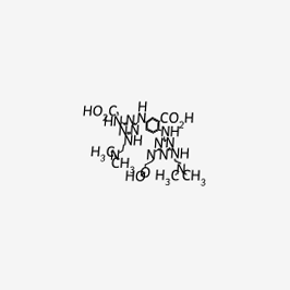 CN(C)CCNc1nc(NCC(=O)O)nc(Nc2ccc(Nc3nc(/N=C/COO)nc(NCCN(C)C)n3)c(C(=O)O)c2)n1